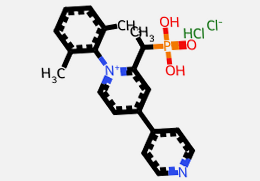 Cc1cccc(C)c1-[n+]1ccc(-c2ccncc2)cc1C(C)P(=O)(O)O.Cl.[Cl-]